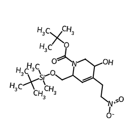 CC(C)(C)OC(=O)N1CC(O)C(CC[N+](=O)[O-])=CC1CO[Si](C)(C)C(C)(C)C